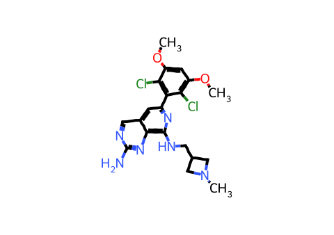 COc1cc(OC)c(Cl)c(-c2cc3cnc(N)nc3c(NCC3CN(C)C3)n2)c1Cl